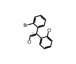 Cl/C=C(\c1ccccc1Cl)c1ccccc1Br